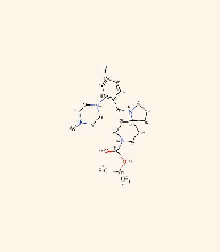 CC(=O)N1CCN(c2cc(C)ccc2CN2CCCC23CCN(C(=O)OC(C(F)(F)F)C(F)(F)F)CC3)CC1